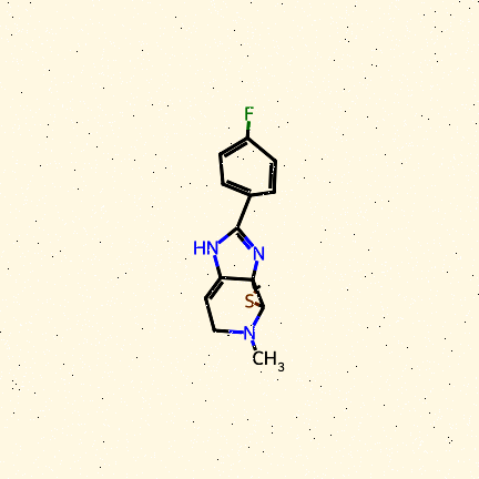 CN1CC=C2NC(c3ccc(F)cc3)=NC23C=CSC13